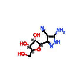 N#Cc1c([C@H]2O[C@@H](CO)[C@H](O)[C@@H]2O)n[nH]c1N